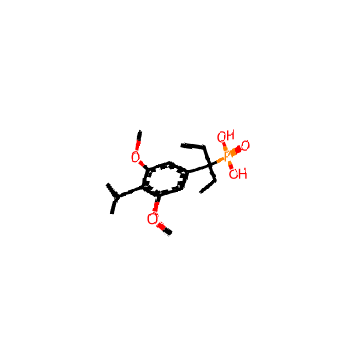 CCC(CC)(c1cc(OC)c(C(C)C)c(OC)c1)P(=O)(O)O